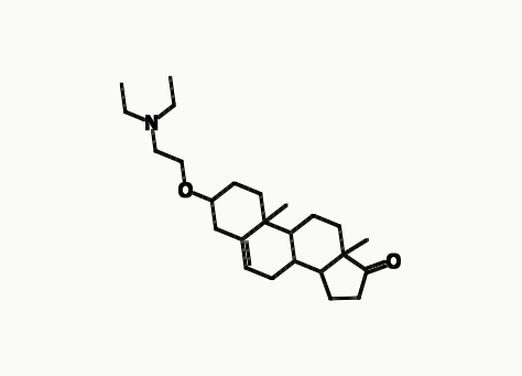 CCN(CC)CCOC1CCC2(C)C(=CCC3C4CCC(=O)C4(C)CCC32)C1